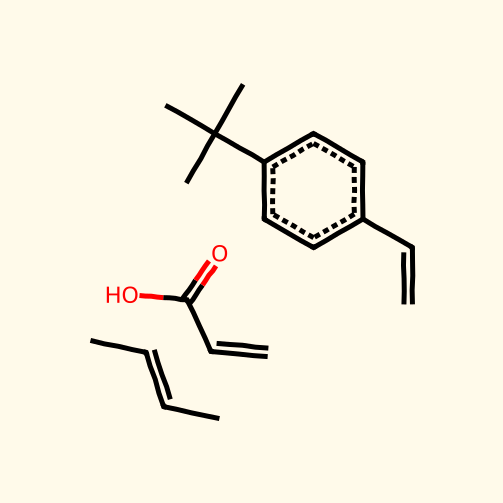 C=CC(=O)O.C=Cc1ccc(C(C)(C)C)cc1.CC=CC